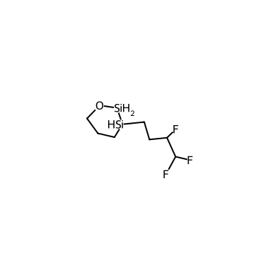 FC(F)C(F)CC[SiH]1CCCO[SiH2]1